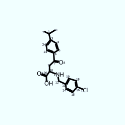 CC(C)c1ccc(C(=O)CC(NCc2ccc(Cl)cc2)C(=O)O)cc1